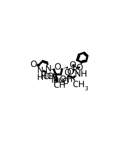 C#C[C@@]1(O)[C@H](O)[C@@H](COP(=O)(N[C@@H](C)C(=O)O[C@@H](C)CC)Oc2ccccc2)O[C@H]1N1C=CC(=O)NC1=C